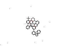 CC(C)(C)c1ccc(-c2ccccc2N(c2cccc(-c3cccc4oc5ccccc5c34)c2)c2ccccc2-c2cccc3cccc(C4CCCCC4)c23)cc1